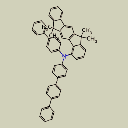 CC1(C)c2ccccc2-c2cc3c(cc21)-c1c(N(c2ccc(-c4ccccc4)cc2)c2ccc(-c4ccc(-c5ccccc5)cc4)cc2)cccc1C3(C)C